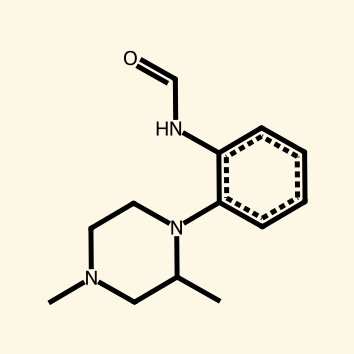 CC1CN(C)CCN1c1ccccc1NC=O